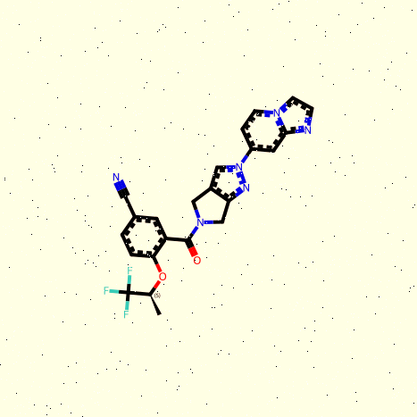 C[C@H](Oc1ccc(C#N)cc1C(=O)N1Cc2cn(-c3ccn4ccnc4c3)nc2C1)C(F)(F)F